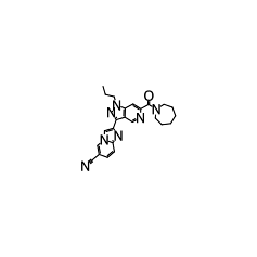 CCCn1nc(-c2cn3cc(C#N)ccc3n2)c2cnc(C(=O)N3CCCCCC3)cc21